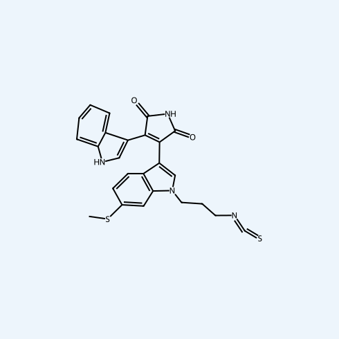 CSc1ccc2c(C3=C(c4c[nH]c5ccccc45)C(=O)NC3=O)cn(CCCN=C=S)c2c1